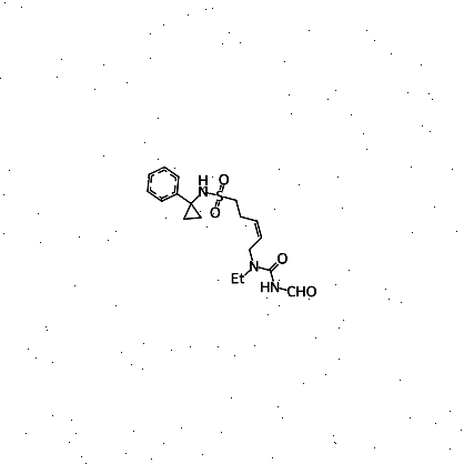 CCN(C/C=C\CCS(=O)(=O)NC1(c2ccccc2)CC1)C(=O)NC=O